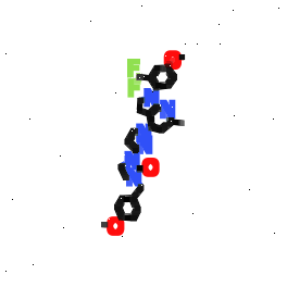 COc1ccc(CN2CCN(c3ccn(-c4cc(C)nc5c4CCN5c4ccc(OC)cc4C(F)F)n3)C2=O)cc1